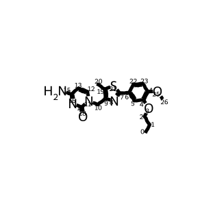 CCCOc1cc(-c2nc(Cn3ccc(N)nc3=O)c(C)s2)ccc1OC